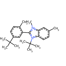 Cc1ccc2c(c1)[n+](C)c(-c1cc(C(C)(C)C)ccc1C)n2C(C)(C)C